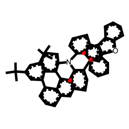 CC(C)(C)c1cc(-c2cccc3cccc(-c4ccccc4N(c4ccccc4-c4ccc5c(c4)oc4ccccc45)c4cccc5sc6ccccc6c45)c23)cc(C(C)(C)C)c1